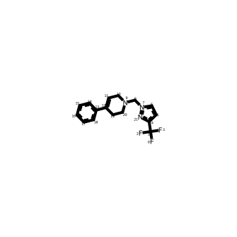 FC(F)(F)c1ccn(CN2CC=C(c3ccccc3)CC2)n1